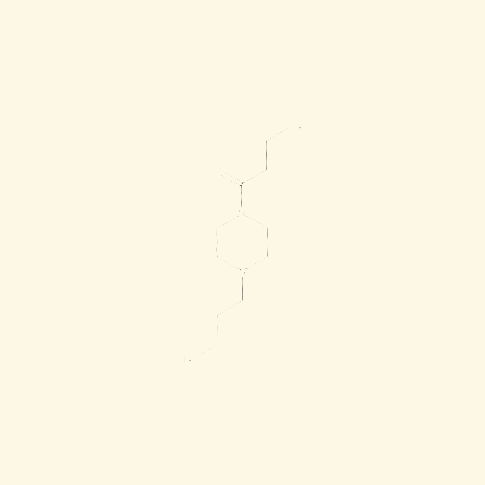 CC(C)(C)CCC(=O)N1CCN(CCOC(C)(C)C)CC1